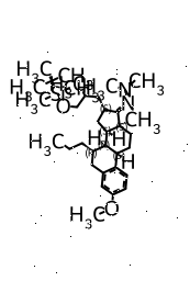 CCC[C@@H]1Cc2cc(OC)ccc2[C@H]2CC[C@]3(C)C(=NN(C)C)[C@H](CC(C)CO[Si](C)(C)C(C)(C)C)C[C@H]3[C@H]12